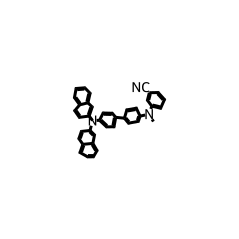 CN(c1ccc(-c2ccc(N(c3ccc4ccccc4c3)c3ccc4ccccc4c3)cc2)cc1)c1cccc(C#N)c1